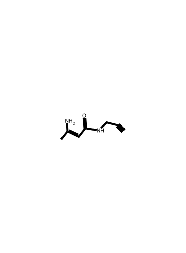 C#CCNC(=O)/C=C(/C)N